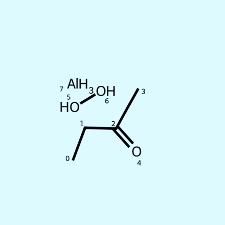 CCC(C)=O.OO.[AlH3]